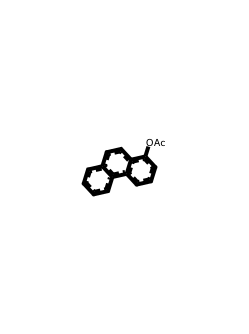 CC(=O)Oc1cccc2c1ccc1ccccc12